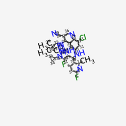 Cc1nc(F)ccc1[C@H](Nc1cc(Cl)c2ncc(C#N)c(NCC(C)(C)C)c2c1)C1=C(F)N(C2CC2)NN1